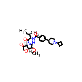 CC[C@H](C)[C@H](NC(=O)c1ccc(C2CCN(C3CCC3)CC2)cc1)C(=O)N1C[C@@H](OC)[C@H]2OCC(=O)[C@H]21